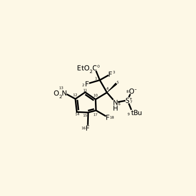 CCOC(=O)C(F)(F)[C@](C)(N[S+]([O-])C(C)(C)C)c1cc([N+](=O)[O-])cc(F)c1F